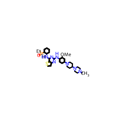 CCP(=O)(CC)c1ccccc1Nc1nc(Nc2ccc(N3CCC(N4CCN(C)CC4)CC3)cc2OC)nc2ccsc12